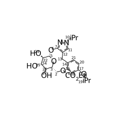 CCOC(=O)OC[C@H]1O[C@@H](Oc2nn(C(C)C)cc2Cc2ccc(OC(C)C)cc2)[C@H](O)[C@@H](O)[C@@H]1O